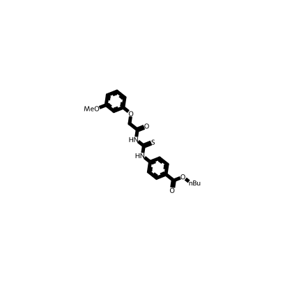 CCCCOC(=O)c1ccc(NC(=S)NC(=O)COc2cccc(OC)c2)cc1